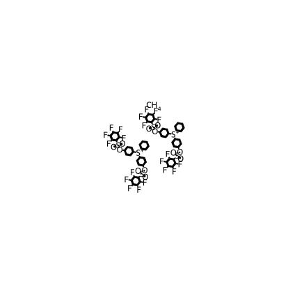 C.O=S(=O)(Oc1ccc([S+](c2ccccc2)c2ccc(OS(=O)(=O)c3c(F)c(F)c(F)c(F)c3F)cc2)cc1)c1c(F)c(F)c(F)c(F)c1F.O=S(=O)(Oc1ccc([S+](c2ccccc2)c2ccc(OS(=O)(=O)c3c(F)c(F)c(F)c(F)c3F)cc2)cc1)c1c(F)c(F)c(F)c(F)c1F